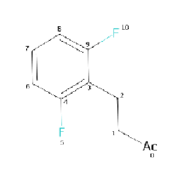 CC(=O)CCc1c(F)cccc1F